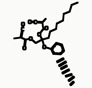 C=C.C=C.C=C.C=C.C=C.C=C.C=C.CCCCCCCCCC(COC(=O)C(C)=C=O)(OC(=O)C(C)=C=O)Oc1ccccc1